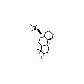 CC1(C)C(=O)CC[C@]2(C)C3=CCCC[C@]3(C#C[Si](C)(C)C)CCC12